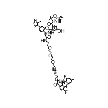 Cc1ncsc1-c1ccc([C@H](CC(=O)NCCOCCOCCOCCNCCCONC(=O)c2ccc(F)c(F)c2Nc2ccc(I)cc2F)NC(=O)[C@@H]2C[C@@H](O)CN2C(=O)C(NC(=O)C2(F)CC2)C(C)(C)C)cc1